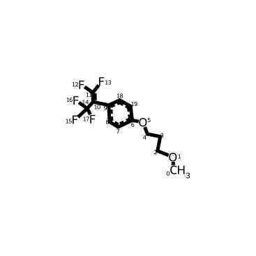 COCCCOc1ccc(C(=C(F)F)C(F)(F)F)cc1